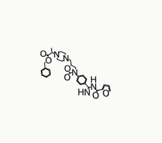 CC(C(=O)OCc1ccccc1)N1CCN(CC2CN(c3ccc(C(=N)NC(=O)c4ccco4)cc3)C(=O)O2)CC1